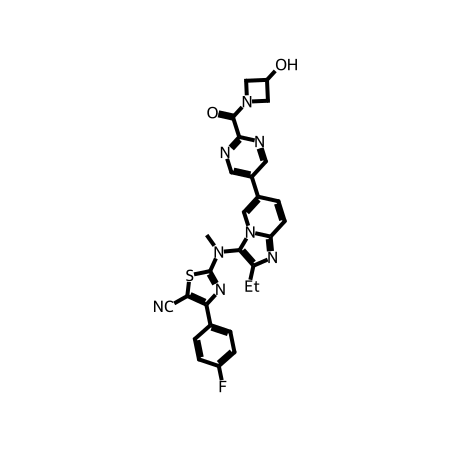 CCc1nc2ccc(-c3cnc(C(=O)N4CC(O)C4)nc3)cn2c1N(C)c1nc(-c2ccc(F)cc2)c(C#N)s1